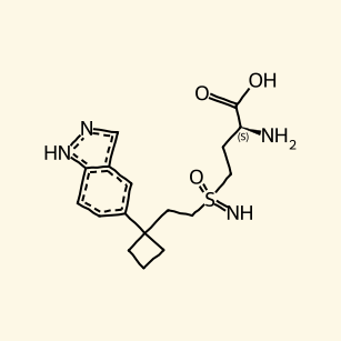 N=S(=O)(CC[C@H](N)C(=O)O)CCC1(c2ccc3[nH]ncc3c2)CCC1